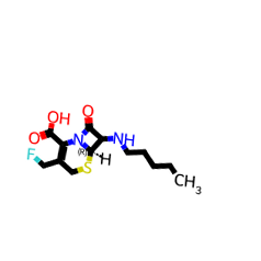 CCCCCNC1C(=O)N2C(C(=O)O)=C(CF)CS[C@H]12